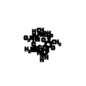 CN(N=O)C(=N)N[N+](=O)[O-].CO[C@@]12[C@H](COC(N)=O)C3=C(C(=O)C(C)=C(N)C3=O)N1C[C@@H]1N[C@@H]12